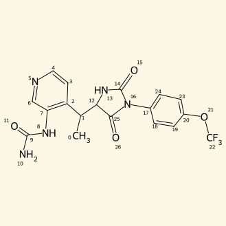 CC(c1ccncc1NC(N)=O)C1NC(=O)N(c2ccc(OC(F)(F)F)cc2)C1=O